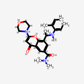 C/C=C(C)\C(=C/C)N(CC)C(C)c1cc(C(=O)N(C)C)cc2c(=O)cc(N3CCOCC3)oc12